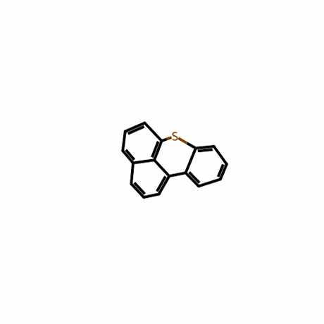 c1ccc2c(c1)Sc1cccc3cccc-2c13